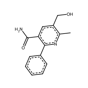 Cc1nc(-c2ccccc2)c(C(N)=O)cc1CO